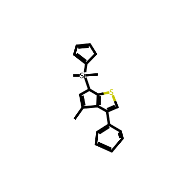 CC1=CC([Si](C)(C)C2=CC=CC2)c2scc(-c3ccccc3)c21